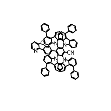 N#Cc1c(-n2c3ccccc3c3c(-c4ccccc4)cccc32)c(-n2c3ccccc3c3c(-c4ccccc4)cccc32)c(-c2ccc3c(c2)oc2cccnc23)c(-n2c3ccccc3c3c(-c4ccccc4)cccc32)c1-n1c2ccccc2c2c(-c3ccccc3)cccc21